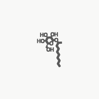 CCCCCCCCC(C)OC1O[C@H](CO)[C@@H](O)[C@H](O)[C@H]1O